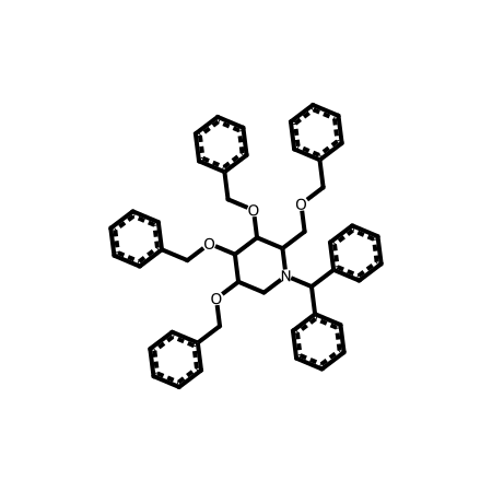 c1ccc(COCC2C(OCc3ccccc3)C(OCc3ccccc3)C(OCc3ccccc3)CN2C(c2ccccc2)c2ccccc2)cc1